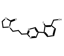 O=C1OCCN1CCCc1ncc(-c2cccc(CO)c2F)cn1